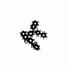 c1ccc(-c2ccc(N(c3ccc(-c4c5ccccc5cc5oc6cc(-c7nc8ccccc8o7)ccc6c45)cc3)c3ccc4ccccc4c3)cc2)cc1